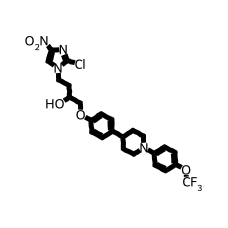 O=[N+]([O-])c1cn(CCC(O)COc2ccc(C3CCN(c4ccc(OC(F)(F)F)cc4)CC3)cc2)c(Cl)n1